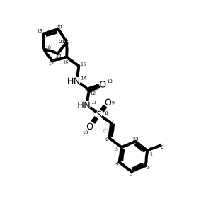 Cc1cccc(/C=C/S(=O)(=O)NC(=O)NCC2CC3C=CC2C3)c1